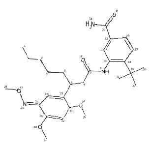 CCCCCC(CC(=O)Nc1cc(C(N)=O)ccc1C(C)(C)C)C1=C/C(=N\OC)C(OC)=CC1OC